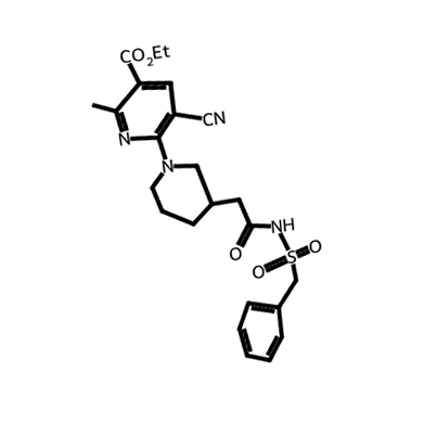 CCOC(=O)c1cc(C#N)c(N2CCCC(CC(=O)NS(=O)(=O)Cc3ccccc3)C2)nc1C